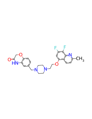 Cc1ccc2c(OCCN3CCN(Cc4ccc5c(c4)NC(=O)CO5)CC3)cc(F)c(F)c2n1